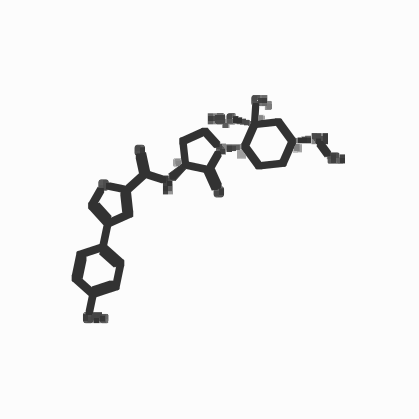 COc1ccc(-c2coc(C(=O)N[C@H]3CCN([C@H]4CC[C@@H](NC(C)(C)C)C[C@@]4(C)C(=O)O)C3=O)c2)cc1